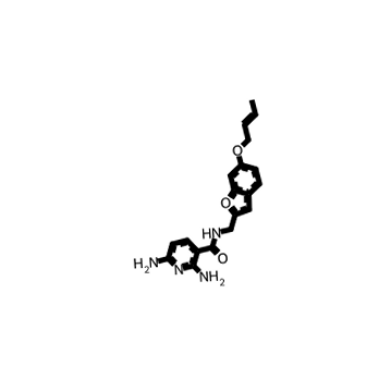 C/C=C/COc1ccc2cc(CNC(=O)c3ccc(N)nc3N)oc2c1